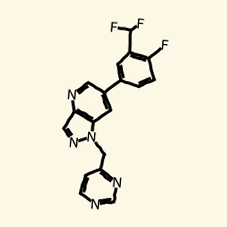 Fc1ccc(-c2cnc3cnn(Cc4ccncn4)c3c2)cc1C(F)F